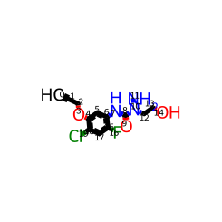 C#CCOc1cc(NC(=O)N(N)CCO)c(F)cc1Cl